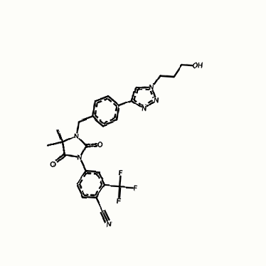 CC1(C)C(=O)N(c2ccc(C#N)c(C(F)(F)F)c2)C(=O)N1Cc1ccc(-c2cn(CCCO)nn2)cc1